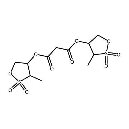 CC1C(OC(=O)CC(=O)OC2COS(=O)(=O)C2C)COS1(=O)=O